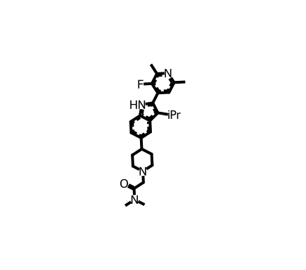 Cc1cc(-c2[nH]c3ccc(C4CCN(CC(=O)N(C)C)CC4)cc3c2C(C)C)c(F)c(C)n1